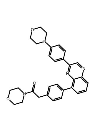 O=C(Cc1ccc(-c2cccc3ncc(-c4ccc(N5CCOCC5)cc4)nc23)cc1)N1CCOCC1